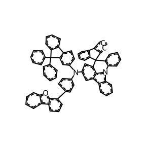 c1ccc(C2(c3ccccc3)c3ccccc3-c3ccc(N(c4ccc(-c5cccc6c5oc5ccccc56)cc4)c4cc5c6c(c4)c4ccccc4n6-c4ccccc4C54c5ccccc5-c5ccccc54)cc32)cc1